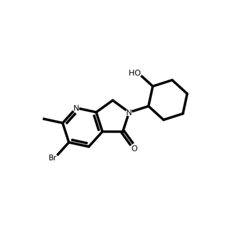 Cc1nc2c(cc1Br)C(=O)N(C1CCCCC1O)C2